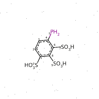 O=S(=O)(O)c1ccc(P)c(S(=O)(=O)O)c1S(=O)(=O)O